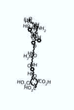 CCC(=O)NCCNC(=O)/N=C(/N)NCCC[C@@H](NC(=O)C(c1ccccc1)c1cccc(OCCCCNC(=O)[C@H](N)CCCCNC(=O)c2ccc(CNC(=O)CN3CCN(CC(=O)O)CCN(CC(=O)O)CCN(CC(=O)O)CC3)cc2)c1)C(=O)NCc1ccc(O)cc1